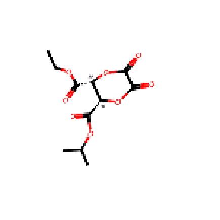 CCOC(=O)[C@@H]1OC(=O)C(=O)O[C@H]1C(=O)OC(C)C